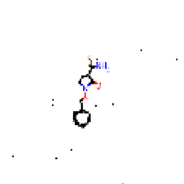 NC(=S)C1CCN(OCc2ccccc2)C1=O